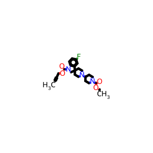 CC#CCOC(=O)N1CC2(CCN(C3CCN(C(=O)OCC)CC3)CC2)c2cc(F)ccc21